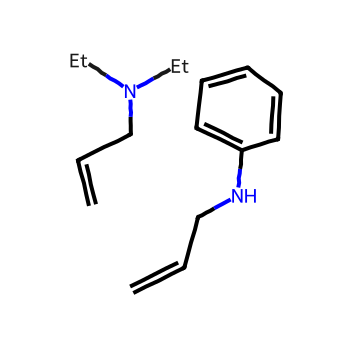 C=CCN(CC)CC.C=CCNc1ccccc1